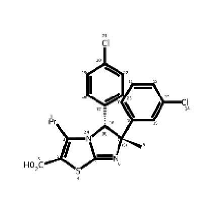 CC(C)C1=C(C(=O)O)SC2=N[C@@](C)(c3cccc(Cl)c3)[C@@H](c3ccc(Cl)cc3)N21